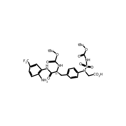 CC(C)(C)OC(=O)N[C@@H](Cc1ccc(N(CC(=O)O)S(=O)(=O)NC(=O)OC(C)(C)C)cc1)C(=O)Nc1cc(C(F)(F)F)ccc1N